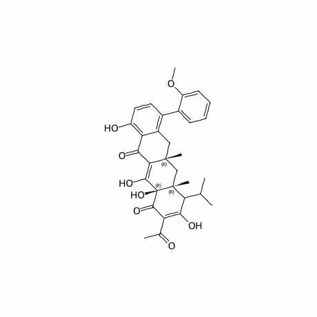 COc1ccccc1-c1ccc(O)c2c1C[C@]1(C)C[C@]3(C)C(C(C)C)C(O)=C(C(C)=O)C(=O)[C@]3(O)C(O)=C1C2=O